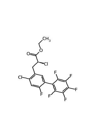 CCOC(=O)[C@@H](Cl)Cc1cc(-c2c(F)c(F)c(F)c(F)c2F)c(F)cc1Cl